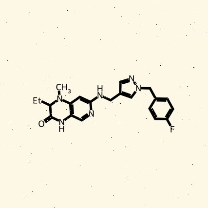 CCC1C(=O)Nc2cnc(NCc3cnn(Cc4ccc(F)cc4)c3)cc2N1C